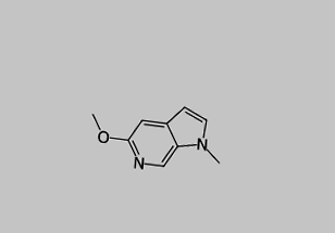 COc1cc2ccn(C)c2cn1